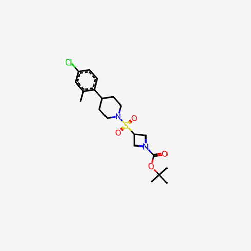 Cc1cc(Cl)ccc1C1CCN(S(=O)(=O)C2CN(C(=O)OC(C)(C)C)C2)CC1